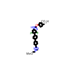 COCCn1cnc(-c2ccc(-c3ccc(-c4c(F)cc5[nH]c(Oc6ccc(C)c(C(=O)O)c6)nc5c4F)cc3)cc2)n1